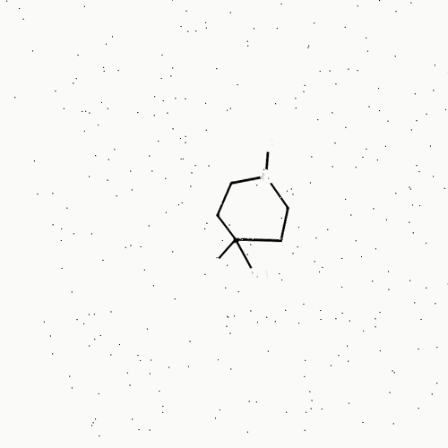 CC(C)N1CCC(N)(I)CC1